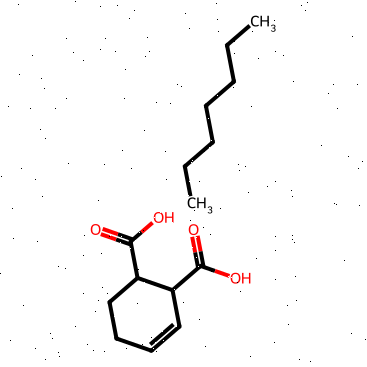 CCCCCCC.O=C(O)C1C=CCCC1C(=O)O